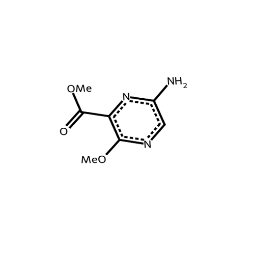 COC(=O)c1nc(N)cnc1OC